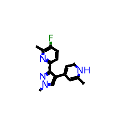 CC1=CC(c2cn(C)nc2-c2ccc(F)c(C)n2)=CCN1